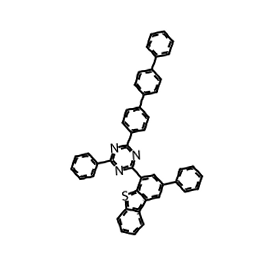 c1ccc(-c2ccc(-c3ccc(-c4nc(-c5ccccc5)nc(-c5cc(-c6ccccc6)cc6c5sc5ccccc56)n4)cc3)cc2)cc1